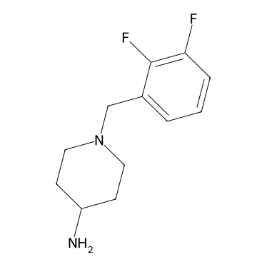 NC1CCN(Cc2cccc(F)c2F)CC1